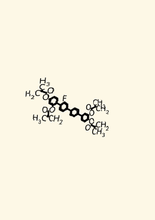 C=C(C)C(=O)Oc1ccc(-c2ccc(-c3ccc(-c4ccc(OC(=O)C(=C)C)c(OC(=O)C(=C)C)c4)cc3)cc2F)c(OC(=O)C(=C)C)c1